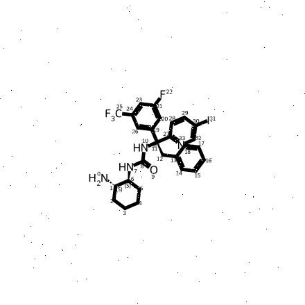 N[C@H]1CCCC[C@@H]1NC(=O)N[C@](Cc1ccccc1)(c1cc(F)cc(C(F)(F)F)c1)c1ccc(I)cn1